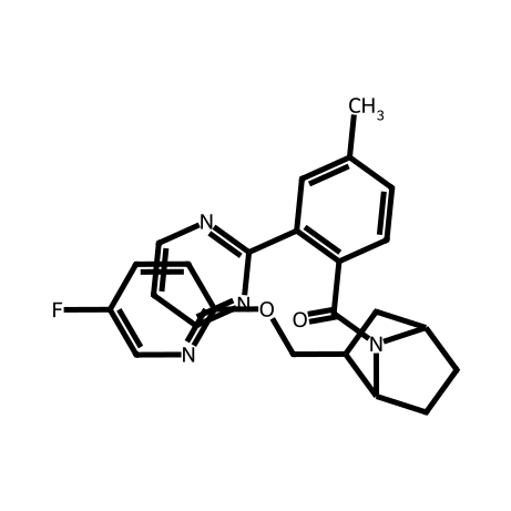 Cc1ccc(C(=O)N2C3CCC2C(COc2ccc(F)cn2)C3)c(-c2ncccn2)c1